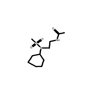 CC(=O)NCCN(C1CCCCC1)S(C)(=O)=O